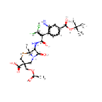 CC(=O)OCC1(C(=O)O)CS[C@@H]2C(NC(=O)C(=C(Cl)Cl)c3ccc(C(=O)OC(C)(C)C)cc3N)C(=O)N2C1